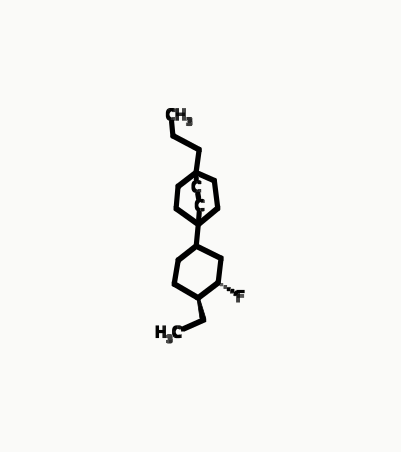 CCCC12CCC(C3CC[C@H](CC)[C@@H](F)C3)(CC1)CC2